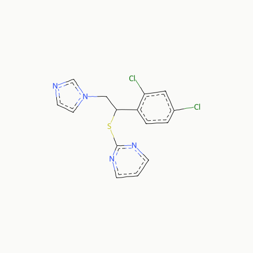 Clc1ccc(C(Cn2ccnc2)Sc2ncccn2)c(Cl)c1